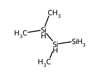 C[SiH](C)[SiH](C)[SiH3]